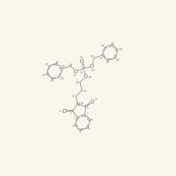 O=C1c2ccccc2C(=O)N1CCCOP(=O)(OCc1ccccc1)OCc1ccccc1